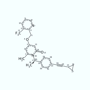 Cc1cc(OCc2ncccc2C(F)(F)F)cc(=O)n1[C@H](C)c1ccc(C#CC2CC2)cc1